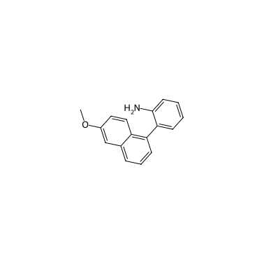 COc1ccc2c(-c3ccccc3N)cccc2c1